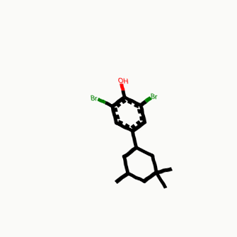 CC1CC(c2cc(Br)c(O)c(Br)c2)CC(C)(C)C1